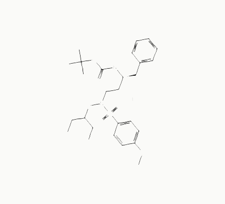 CCC(CC)ON(C[C@@H](O)[C@H](Cc1ccccc1)NC(=O)OC(C)(C)C)S(=O)(=O)c1ccc(OC)cc1